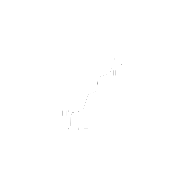 O=C(O)NCCCCNC(=O)O